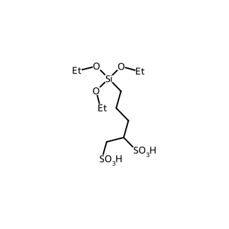 CCO[Si](CCCC(CS(=O)(=O)O)S(=O)(=O)O)(OCC)OCC